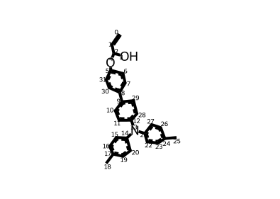 C=CC(O)Oc1ccc(-c2ccc(N(c3ccc(C)cc3)c3ccc(C)cc3)cc2)cc1